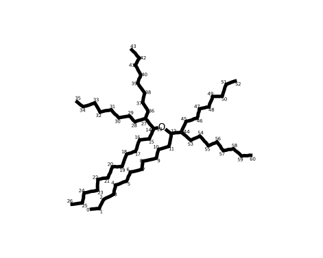 CCCCCCCCCCCCC(OC(CCCCCCCCCCCC)C(CCCCCCCC)CCCCCCCC)C(CCCCCCCC)CCCCCCCC